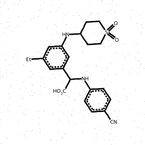 CCc1cc(NC2CCS(=O)(=O)CC2)cc(C(Nc2ccc(C#N)cc2)C(=O)O)c1